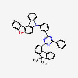 CC1(C)c2ccccc2-c2c(-c3nc(-c4ccccc4)nc(-c4cccc(-n5c6ccccc6c6c7c(ccc65)oc5ccccc57)c4)n3)cccc21